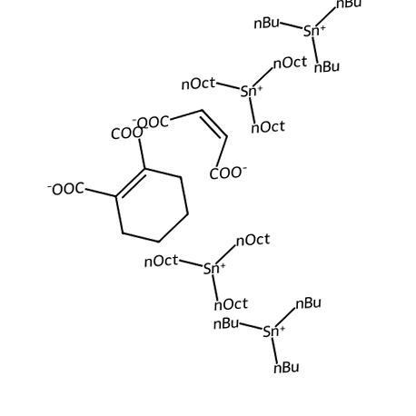 CCCCCCC[CH2][Sn+]([CH2]CCCCCCC)[CH2]CCCCCCC.CCCCCCC[CH2][Sn+]([CH2]CCCCCCC)[CH2]CCCCCCC.CCC[CH2][Sn+]([CH2]CCC)[CH2]CCC.CCC[CH2][Sn+]([CH2]CCC)[CH2]CCC.O=C([O-])/C=C\C(=O)[O-].O=C([O-])C1=C(C(=O)[O-])CCCC1